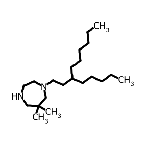 CCCCCCC(CCCCC)CCN1CCNCC(C)(C)C1